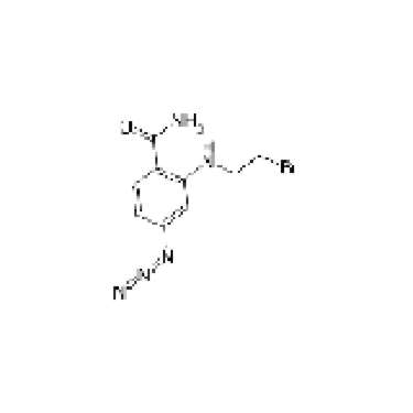 [N-]=[N+]=Nc1ccc(C(N)=O)c(NCCBr)c1